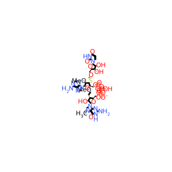 COCC[C@H]1[C@@H](O)[C@H](n2c[n+](C)c3c(=O)[nH]c(N)nc32)O[C@@H]1COP(=O)([O-])OP(=O)(O)OP(=O)(O)OC[C@H]1O[C@@H](n2cnc3c(N)ncnc32)[C@H](OC)[C@@H]1SCOC[C@H]1O[C@@H](n2ccc(=O)[nH]c2=O)[C@H](O)[C@@H]1O